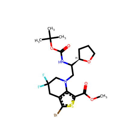 COC(=O)c1sc(Br)c2c1N(CC(NC(=O)OC(C)(C)C)[C@H]1CCCO1)CC(F)(F)C2